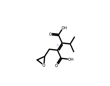 CC(C)/C(C(=O)O)=C(/CC1CO1)C(=O)O